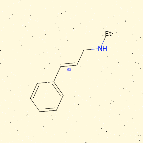 C[CH]NC/C=C/c1ccccc1